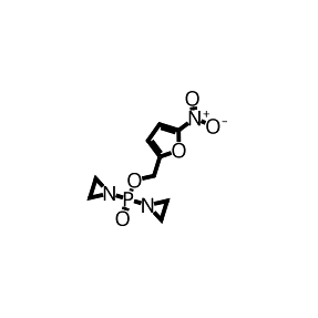 O=[N+]([O-])c1ccc(COP(=O)(N2CC2)N2CC2)o1